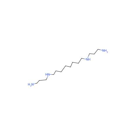 NCCCNCCCCCCCCNCCCN